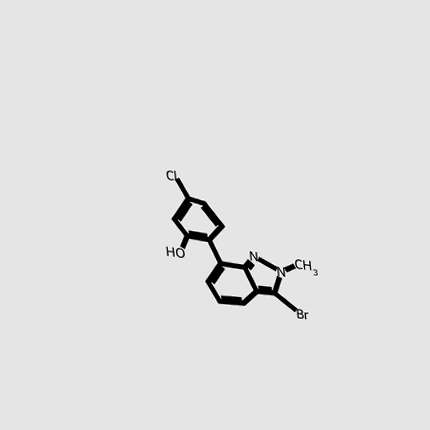 Cn1nc2c(-c3ccc(Cl)cc3O)cccc2c1Br